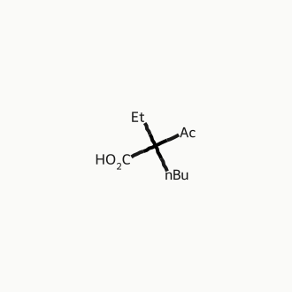 CCCCC(CC)(C(C)=O)C(=O)O